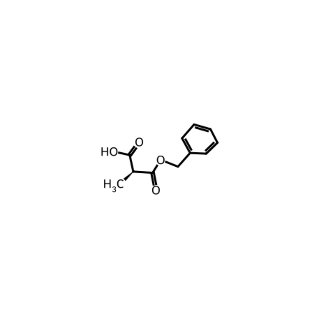 C[C@@H](C(=O)O)C(=O)OCc1ccccc1